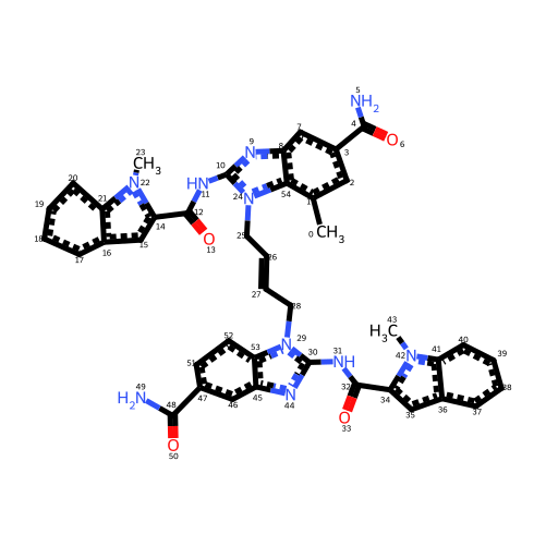 Cc1cc(C(N)=O)cc2nc(NC(=O)c3cc4ccccc4n3C)n(C/C=C/Cn3c(NC(=O)c4cc5ccccc5n4C)nc4cc(C(N)=O)ccc43)c12